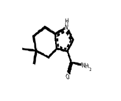 CC1(C)CCc2[nH]cc(C(N)=O)c2C1